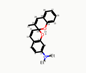 CCN(CC)c1ccc2c(c1)OC1(C=C2)Oc2ccccc2C=C1C